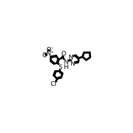 O=C(Nc1ncc(C2CCCC2)cn1)c1cc([N+](=O)[O-])ccc1Sc1ccc(Cl)cc1